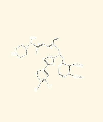 C=C/C(=C\C=C(/C)C(O)N1CCNCC1)CN(CC1CC=CC(OC)C1OC)c1nc(-c2ccc(Cl)c(Cl)c2)cs1